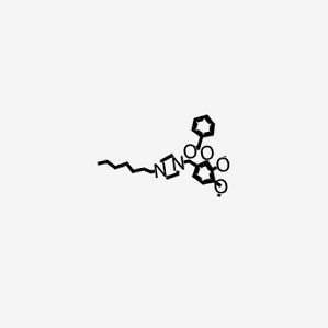 CCCCCCCN1CCN(Cc2ccc(OC)c(OC)c2OC(=O)c2ccccc2)CC1